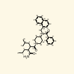 CCCC(C(N)=O)C(CC(C)C)C(=O)N1CCC(N(Cc2cccc3ccccc23)C(=O)c2ccccc2)CC1